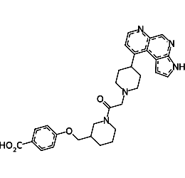 O=C(O)c1ccc(OCC2CCCN(C(=O)CN3CCC(c4ccnc5cnc6[nH]ccc6c45)CC3)C2)cc1